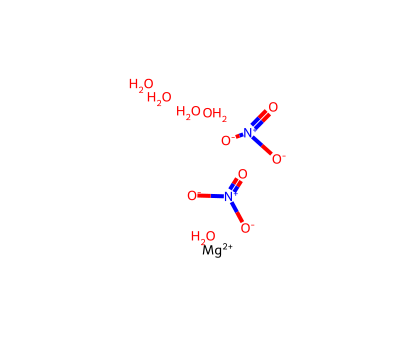 O.O.O.O.O.O=[N+]([O-])[O-].O=[N+]([O-])[O-].[Mg+2]